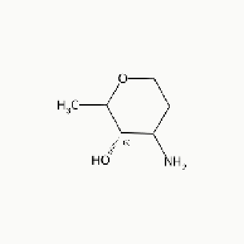 CC1OCCC(N)[C@@H]1O